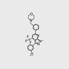 COc1cccc(-c2nn(C)c3nc(-c4cccc(CN5CCOCC5)c4)cc(C(F)(F)F)c23)c1